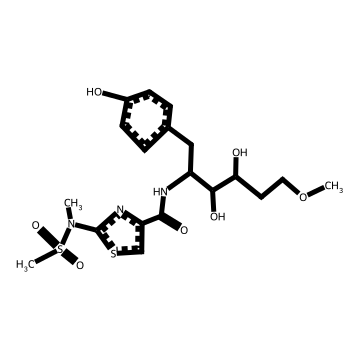 COCCC(O)C(O)C(Cc1ccc(O)cc1)NC(=O)c1csc(N(C)S(C)(=O)=O)n1